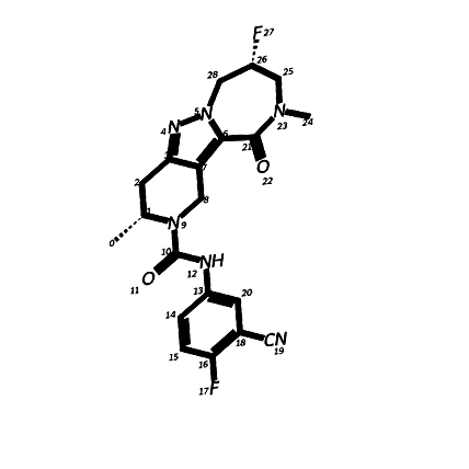 C[C@@H]1Cc2nn3c(c2CN1C(=O)Nc1ccc(F)c(C#N)c1)C(=O)N(C)C[C@@H](F)C3